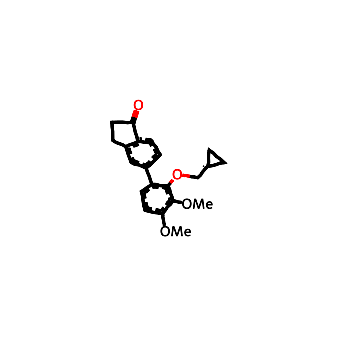 COc1ccc(-c2ccc3c(c2)CCC3=O)c(OC[C]2CC2)c1OC